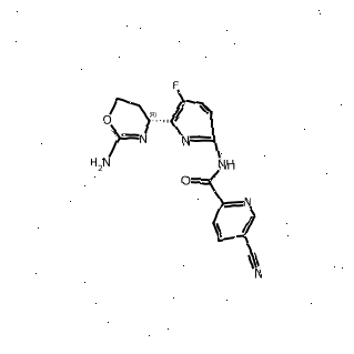 N#Cc1ccc(C(=O)Nc2ccc(F)c([C@H]3CCOC(N)=N3)n2)nc1